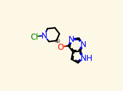 ClN1CCC[C@H](Oc2ncnc3[nH]ccc23)C1